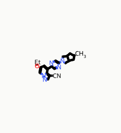 CCOc1cc(-c2cnc(N3CC4CC(C)CC4C3)cn2)c2c(C#N)cnn2c1